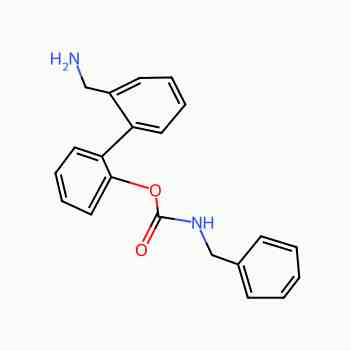 NCc1ccccc1-c1ccccc1OC(=O)NCc1ccccc1